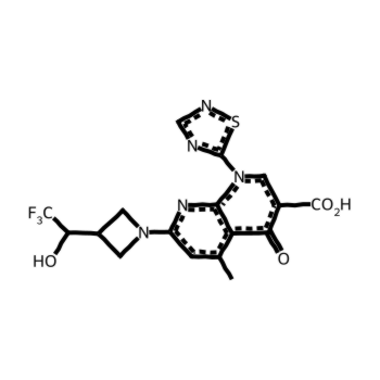 Cc1cc(N2CC(C(O)C(F)(F)F)C2)nc2c1c(=O)c(C(=O)O)cn2-c1ncns1